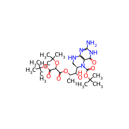 C[C@H](OC(=O)C(OC(C)(C)C)C(=O)OC(C)(C)C)[C@H](O)[C@H]1CNc2nc(N)[nH]c(=O)c2N1C(=O)OC(C)(C)C